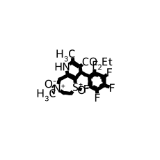 CCOC(=O)C1=C(C)NC2=C(C1c1c(F)c(F)c(F)c(F)c1F)[S+]([O-])CC[N+](C)([O-])C2